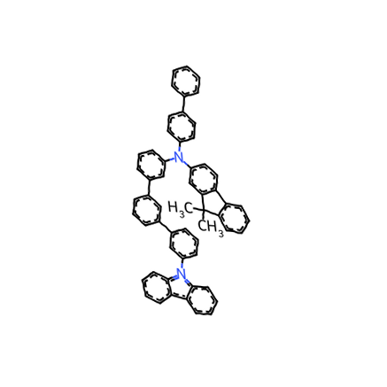 CC1(C)c2ccccc2-c2ccc(N(c3ccc(-c4ccccc4)cc3)c3cccc(-c4cccc(-c5cccc(-n6c7ccccc7c7ccccc76)c5)c4)c3)cc21